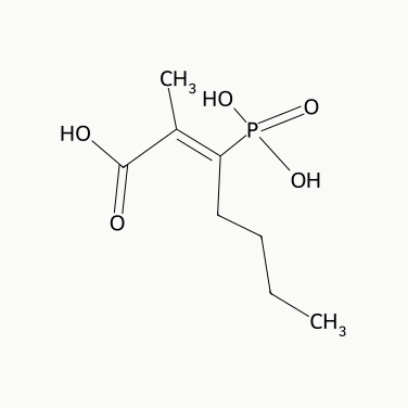 CCCC/C(=C(/C)C(=O)O)P(=O)(O)O